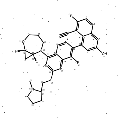 C#Cc1c(F)ccc2cc(O)cc(-c3ncc4c(N5CCCO[C@H]6C[C@H]65)nc(OC[C@@]5(C)CCCN5C)nc4c3F)c12